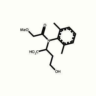 COCC(=O)N(c1c(C)cccc1C)C(CCO)C(=O)O